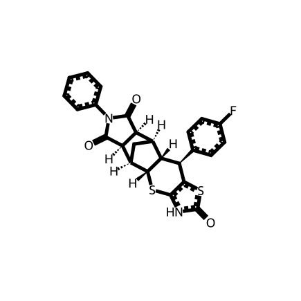 O=C1[C@@H]2[C@H]3C[C@@H]([C@@H]2C(=O)N1c1ccccc1)[C@@H]1[C@@H](c2ccc(F)cc2)c2sc(=O)[nH]c2S[C@H]31